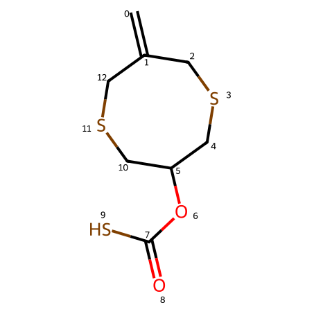 C=C1CSCC(OC(=O)S)CSC1